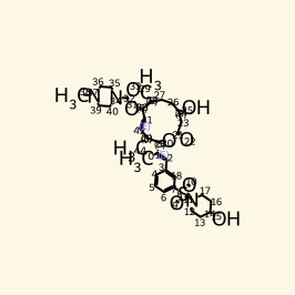 C/C(=C\c1cccc(S(=O)(=O)N2CCC(O)CC2)c1)[C@H]1OC(=O)C[C@H](O)CC[C@H](C)[C@H](OC(=O)N2CCN(C)CC2)/C=C/[C@@H]1C